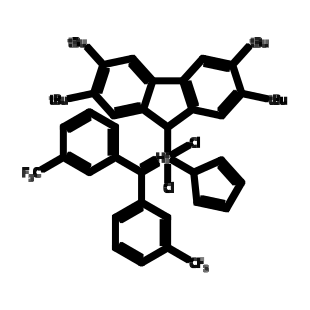 CC(C)(C)c1cc2c(cc1C(C)(C)C)[CH]([Hf]([Cl])([Cl])(=[C](c1cccc(C(F)(F)F)c1)c1cccc(C(F)(F)F)c1)[CH]1C=CC=C1)c1cc(C(C)(C)C)c(C(C)(C)C)cc1-2